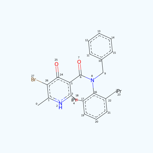 Cc1[nH]c(C)c(C(=O)N(Cc2ccccc2)c2c(C(C)C)cccc2C(C)C)c(=O)c1Br